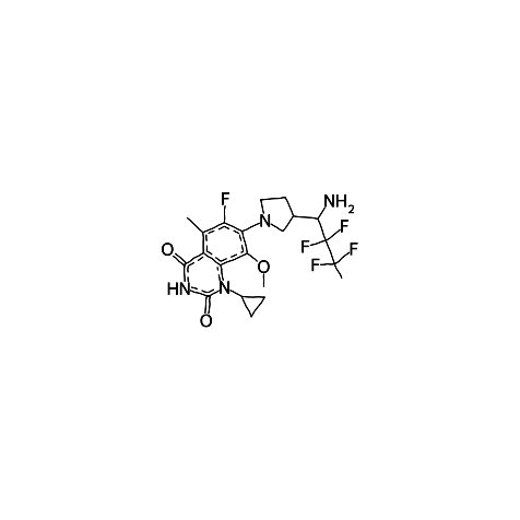 COc1c(N2CCC(C(N)C(F)(F)C(C)(F)F)C2)c(F)c(C)c2c(=O)[nH]c(=O)n(C3CC3)c12